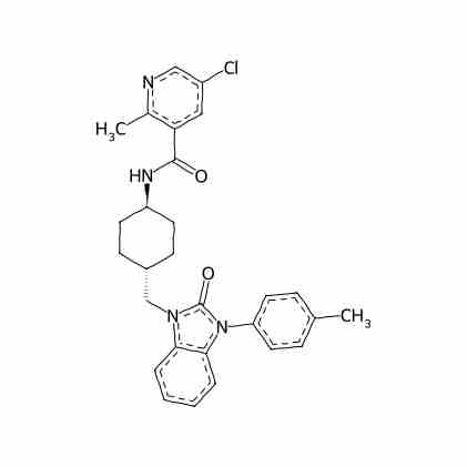 Cc1ccc(-n2c(=O)n(C[C@H]3CC[C@H](NC(=O)c4cc(Cl)cnc4C)CC3)c3ccccc32)cc1